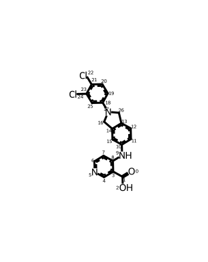 O=C(O)c1cnccc1Nc1ccc2c(c1)CN(c1ccc(Cl)c(Cl)c1)C2